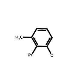 Cc1cccc([O])c1C(C)C